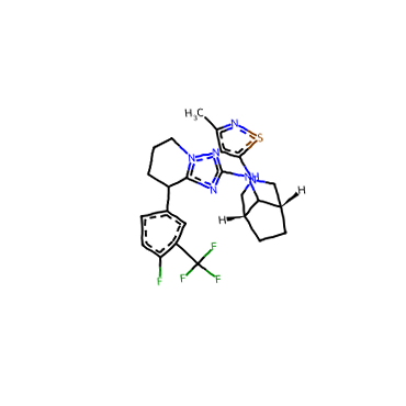 Cc1cc(N2C[C@H]3CC[C@@H](C2)C3Nc2nc3n(n2)CCCC3c2ccc(F)c(C(F)(F)F)c2)sn1